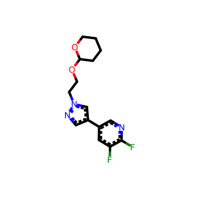 Fc1cc(-c2cnn(CCOC3CCCCO3)c2)cnc1F